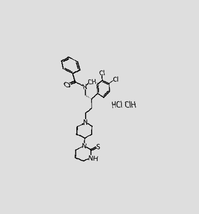 CN(C[C@@H](CCN1CCC(N2CCCNC2=S)CC1)c1ccc(Cl)c(Cl)c1)C(=O)c1ccccc1.Cl.Cl